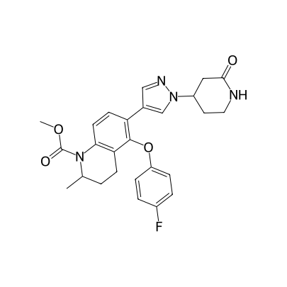 COC(=O)N1c2ccc(-c3cnn(C4CCNC(=O)C4)c3)c(Oc3ccc(F)cc3)c2CCC1C